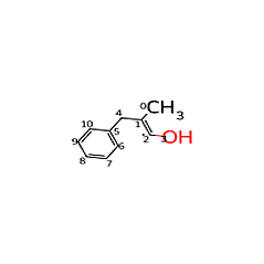 CC(=[C]O)Cc1ccccc1